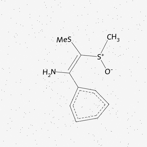 CSC(=C(N)c1ccccc1)[S+](C)[O-]